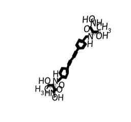 C[C@@H](O)[C@H](NCc1ccc(C#CC#Cc2ccc(C(=O)N[C@H](C(=O)NO)[C@@H](C)O)cc2)cc1)C(=O)NO